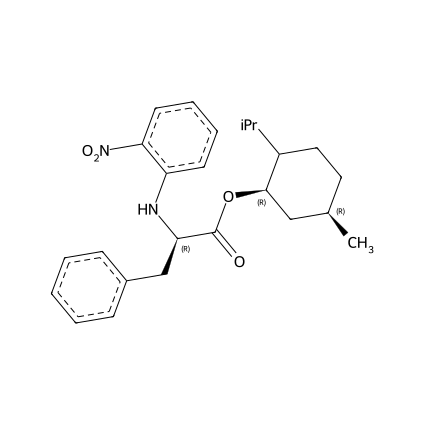 CC(C)C1CC[C@@H](C)C[C@H]1OC(=O)[C@@H](Cc1ccccc1)Nc1ccccc1[N+](=O)[O-]